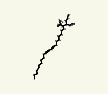 CCCCCCCCCCC#CC#CCCCCCCCC(C(N)=O)C(CO)CCC